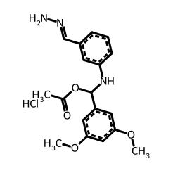 COc1cc(OC)cc(C(Nc2cccc(C=NN)c2)OC(C)=O)c1.Cl